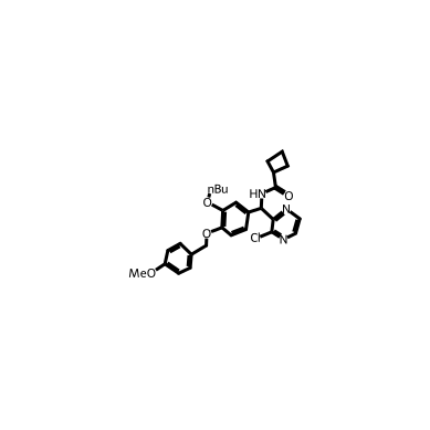 CCCCOc1cc(C(NC(=O)C2CCC2)c2nccnc2Cl)ccc1OCc1ccc(OC)cc1